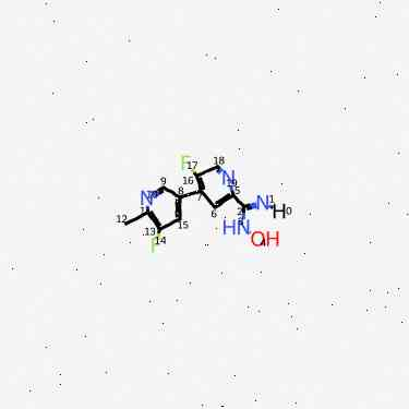 [H]/N=C(\NO)c1cc(-c2cnc(C)c(F)c2)c(F)cn1